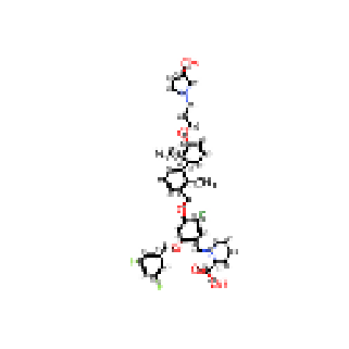 Cc1c(COc2cc(OCc3cc(F)cc(F)c3)c(CN3CCCCC3C(=O)O)cc2Cl)cccc1-c1cccc(OCCCN2CCC(O)C2)c1C